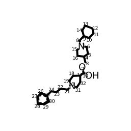 OC(OCC1CCN(CC2CCCCC2)CC1)C1CCN(CCCCc2ccccc2)CC1